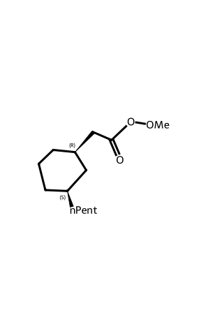 CCCCC[C@H]1CCC[C@@H](CC(=O)OOC)C1